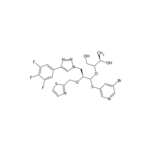 C[C@@H](O)C(CO)OC(Sc1cncc(Br)c1)[C@H](Cn1cc(-c2cc(F)c(F)c(F)c2)nn1)OCc1nccs1